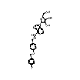 OCC1OC(n2cnc3c(N/N=C/c4ccc(OCc5ccc(F)cc5)cc4)ncnc32)C(O)C1O